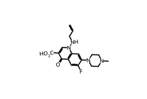 C=CCNn1cc(C(=O)O)c(=O)c2cc(F)c(N3CCN(C)CC3)cc21